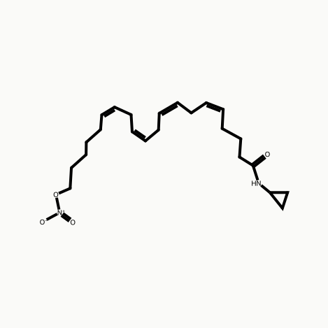 O=C(CCC/C=C\C/C=C\C/C=C\C/C=C\CCCCCO[N+](=O)[O-])NC1CC1